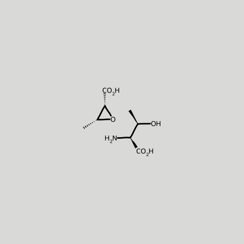 C[C@@H](O)[C@H](N)C(=O)O.C[C@H]1O[C@H]1C(=O)O